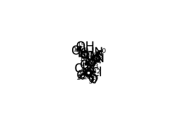 CNc1ncc2c(n1)N(C1CCN(C(=O)O)CC1)C(=O)N(c1c(Cl)c(OC)cc(OC)c1Cl)C2